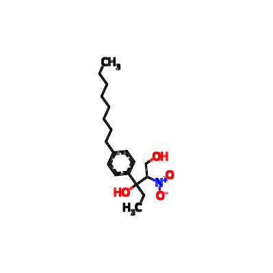 CCCCCCCCc1ccc(C(O)(CC)C(CO)[N+](=O)[O-])cc1